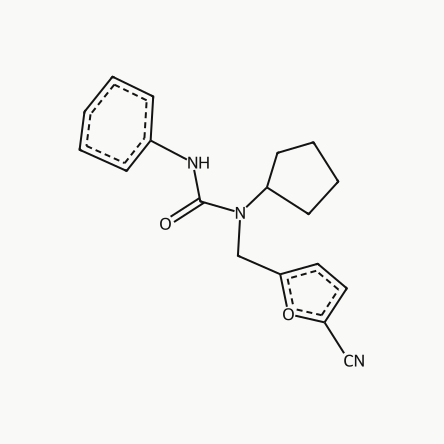 N#Cc1ccc(CN(C(=O)Nc2ccccc2)C2CCCC2)o1